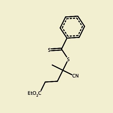 CCOC(=O)CCC(C)(C#N)SC(=S)c1ccccc1